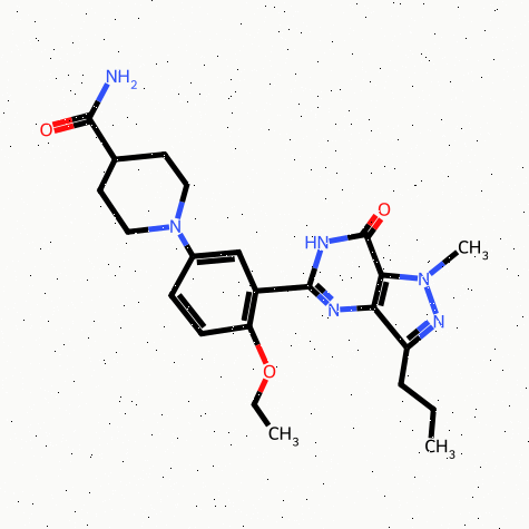 CCCc1nn(C)c2c(=O)[nH]c(-c3cc(N4CCC(C(N)=O)CC4)ccc3OCC)nc12